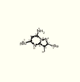 CCCCc1cc(N)n2nc(CCCC)c(C)c2n1